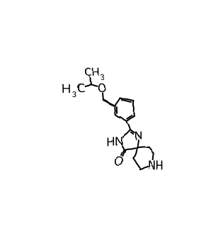 CC(C)OCc1cccc(C2=NC3(CCNCC3)C(=O)N2)c1